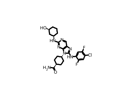 NC(=O)[C@H]1CC[C@H](n2c(Nc3cc(F)c(Cl)cc3F)nc3cnc(N[C@@H]4CCC[C@H](O)C4)nc32)CC1